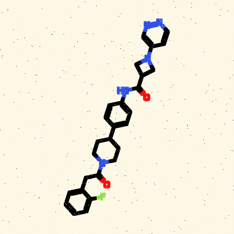 O=C(Nc1ccc(C2CCN(C(=O)Cc3ccccc3F)CC2)cc1)C1CN(c2ccnnc2)C1